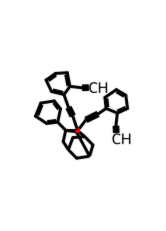 C#Cc1ccccc1C#CC1(C#Cc2ccccc2C#C)C2CC3CC(C2)CC1(c1ccccc1)C3